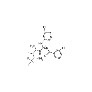 CC(C(N)N/C(=N\C(=O)c1cccc(Cl)c1)Nc1cccc(Cl)c1)C(N)C(F)(F)F